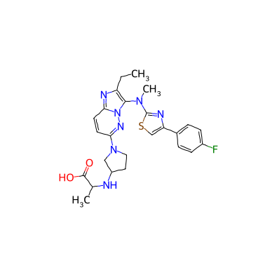 CCc1nc2ccc(N3CCC(NC(C)C(=O)O)C3)nn2c1N(C)c1nc(-c2ccc(F)cc2)cs1